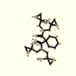 CC1(CN(CC2(C)CO2)C(=O)C2(C(=O)N(CC3(C)CO3)CC3(C)CO3)CCCCC2)CO1